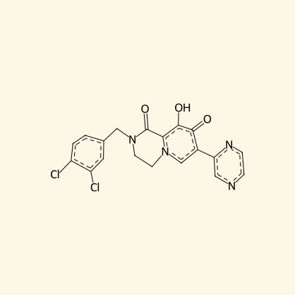 O=C1c2c(O)c(=O)c(-c3cnccn3)cn2CCN1Cc1ccc(Cl)c(Cl)c1